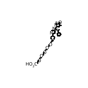 Cc1cc(-c2nc3cnc(C4CCN(CCOCCOCCOCCOCCOCCC(=O)O)CC4)cc3n2C(C)c2ccccc2)nn(C)c1=O